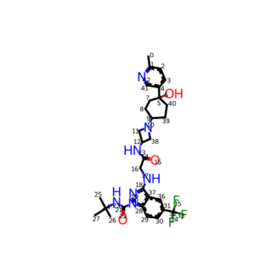 Cc1ccc(C2(O)CCC(N3CC(NC(=O)CNc4nn(C(=O)NC(C)(C)C)c5ccc(C(F)(F)F)cc45)C3)CC2)cn1